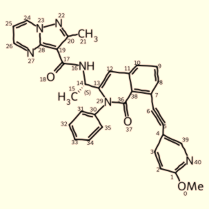 COc1ccc(C#Cc2cccc3cc([C@H](C)NC(=O)c4c(C)nn5cccnc45)n(-c4ccccc4)c(=O)c23)cn1